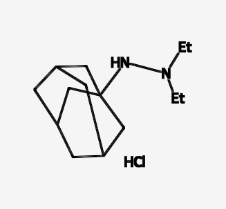 CCN(CC)NC12CC3CC(CC(C3)C1)C2.Cl